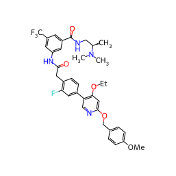 CCOc1cc(OCc2ccc(OC)cc2)ncc1-c1ccc(CC(=O)Nc2cc(C(=O)NC[C@@H](C)N(C)C)cc(C(F)(F)F)c2)c(F)c1